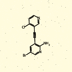 Nc1ncc(Br)cc1C#Cc1cnccc1Cl